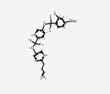 C=CCCc1ncc(OC(F)(F)c2ccc(OC(F)(F)c3ccc(CCCCCCCCCC)cc3F)cn2)cn1